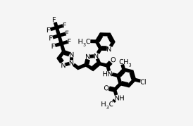 CNC(=O)c1cc(Cl)cc(C)c1NC(=O)c1cc(Cn2ncc(C(F)(F)C(F)(F)C(F)(F)F)n2)nn1-c1ncccc1C